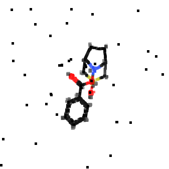 O=C(ON1C2CCC1C[S+]([O-])C2)c1ccccc1